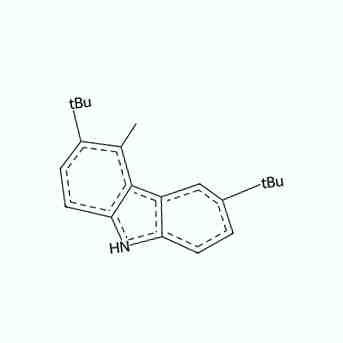 Cc1c(C(C)(C)C)ccc2[nH]c3ccc(C(C)(C)C)cc3c12